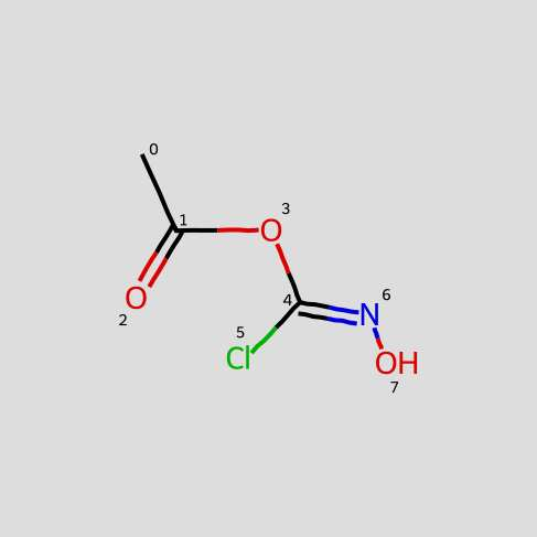 CC(=O)OC(Cl)=NO